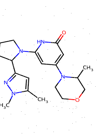 Cc1cc(C2CCCN2c2cc(N3CCOCC3C)cc(=O)[nH]2)nn1C